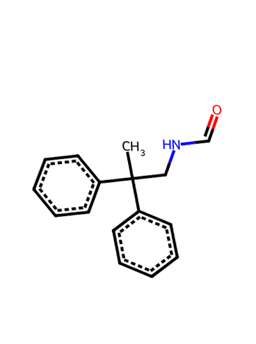 CC(CNC=O)(c1ccccc1)c1ccccc1